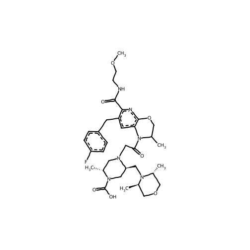 COCCNC(=O)c1nc2c(cc1Cc1ccc(F)cc1)N(C(=O)CN1C[C@@H](C)N(C(=O)O)C[C@@H]1CN1[C@H](C)COC[C@H]1C)C(C)CO2